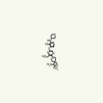 C[C@@H]1OCC2(CCN(c3ncc(Sc4ccnc(NC5CCOCC5)c4Cl)nc3CO)CC2)[C@@H]1N